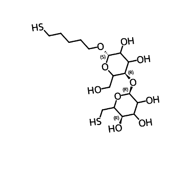 OCC1O[C@H](OCCCCCS)C(O)C(O)[C@H]1O[C@@H]1OC(CS)[C@H](O)C(O)C1O